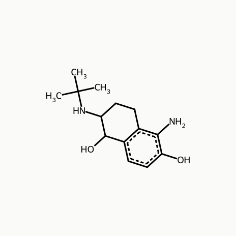 CC(C)(C)NC1CCc2c(ccc(O)c2N)C1O